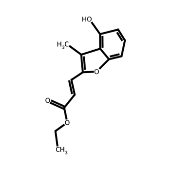 CCOC(=O)C=Cc1oc2cccc(O)c2c1C